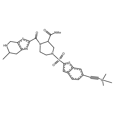 CNC(=O)C1CN(S(=O)(=O)c2cc3ccc(C#C[Si](C)(C)C)cc3s2)CCN1C(=O)c1nc2c(s1)CNC(C)C2